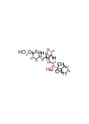 CC(C)(c1ccccc1)C(O)C=C[C@H]1[C@@H](Cc2ccc(C(=O)O)cc2)[C@H]2CC[C@@H]1O2